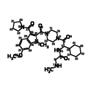 CNCC(=O)NC(C(=O)N1CCN(C(=O)c2c(C(=O)N3CCCC3)c3ccc(OC)cc3n2C)CC1)C1CCCCC1